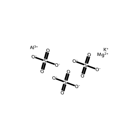 O=S(=O)([O-])[O-].O=S(=O)([O-])[O-].O=S(=O)([O-])[O-].[Al+3].[K+].[Mg+2]